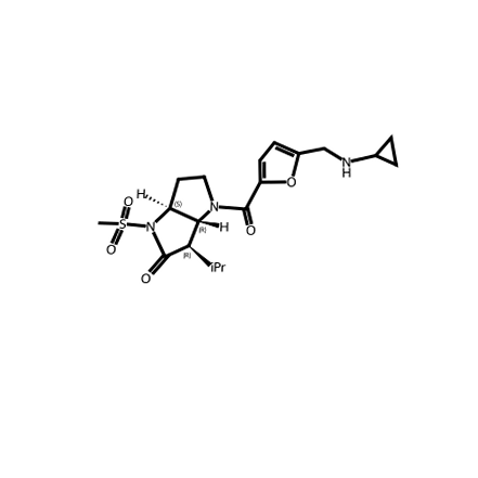 CC(C)[C@H]1C(=O)N(S(C)(=O)=O)[C@H]2CCN(C(=O)c3ccc(CNC4CC4)o3)[C@H]12